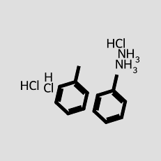 Cc1ccccc1.Cc1ccccc1.Cl.Cl.Cl.N.N